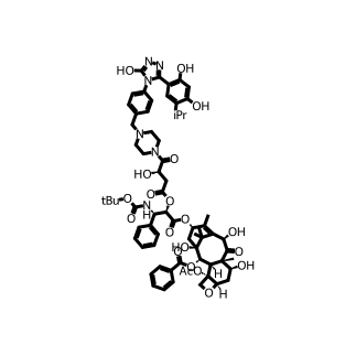 CC(=O)O[C@@]12CO[C@@H]1C[C@H](O)[C@@]1(C)C(=O)[C@H](O)C3=C(C)[C@@H](OC(=O)[C@H](OC(=O)C[C@@H](O)C(=O)N4CCN(Cc5ccc(-n6c(O)nnc6-c6cc(C(C)C)c(O)cc6O)cc5)CC4)[C@@H](NC(=O)OC(C)(C)C)c4ccccc4)C[C@@](O)([C@@H](OC(=O)c4ccccc4)[C@H]21)C3(C)C